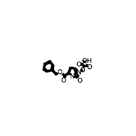 O=C(OCc1ccccc1)C1CC2CN1C(=O)N2OS(=O)(=O)O